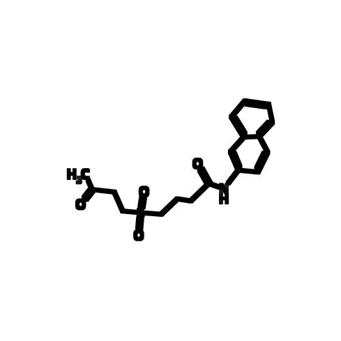 CC(=O)CCS(=O)(=O)CCCC(=O)Nc1ccc2ccccc2c1